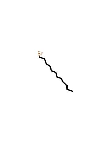 C/C=C/CCCCCCCCCBr